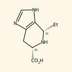 CC[C@@H]1N[C@H](C(=O)O)Cc2nc[nH]c21